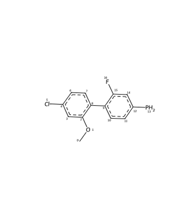 COc1cc(Cl)ccc1-c1ccc(P)cc1F